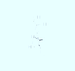 C=CC(=O)O.CCC.CCC(O)CO